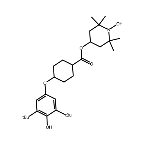 CC(C)(C)c1cc(OC2CCC(C(=O)OC3CC(C)(C)N(O)C(C)(C)C3)CC2)cc(C(C)(C)C)c1O